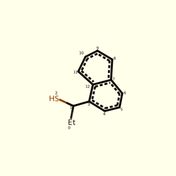 CCC(S)c1cccc2ccccc12